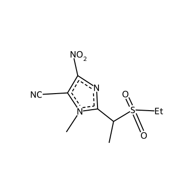 CCS(=O)(=O)C(C)c1nc([N+](=O)[O-])c(C#N)n1C